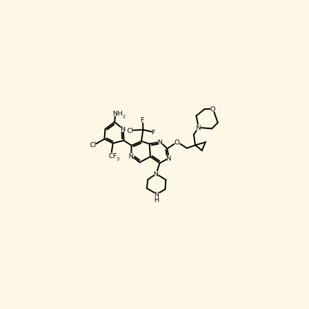 Nc1cc(Cl)c(C(F)(F)F)c(-c2ncc3c(N4CCNCC4)nc(OCC4(CN5CCOCC5)CC4)nc3c2C(F)(F)Cl)n1